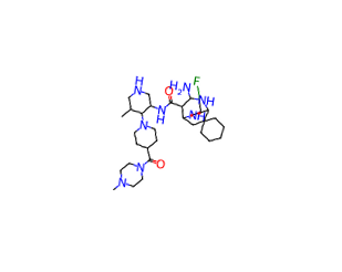 CC1CNCC(NC(=O)C2C(N)NC3CC(F)CNC2CC32CCCCC2)C1N1CCC(C(=O)N2CCN(C)CC2)CC1